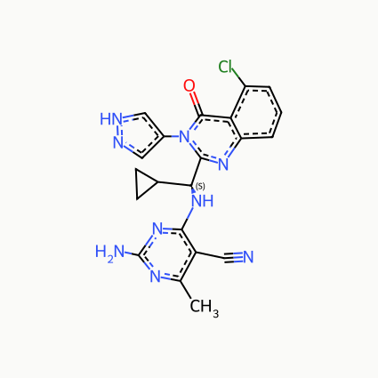 Cc1nc(N)nc(N[C@H](c2nc3cccc(Cl)c3c(=O)n2-c2cn[nH]c2)C2CC2)c1C#N